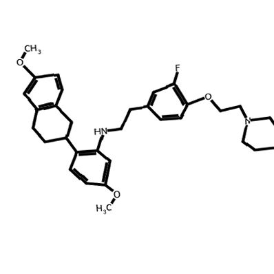 COc1ccc2c(c1)CCC(c1ccc(OC)cc1NCCc1ccc(OCCN3CCCCC3)c(F)c1)C2